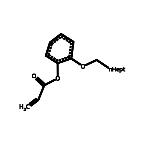 C=CC(=O)Oc1ccccc1OCCCCCCCC